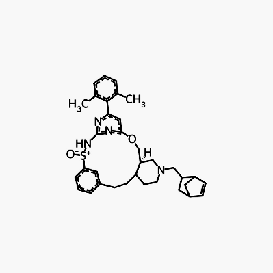 Cc1cccc(C)c1-c1cc2nc(n1)N[S+]([O-])c1cccc(c1)CCC1CCN(CC3CC4C=CC3C4)C[C@@H]1CO2